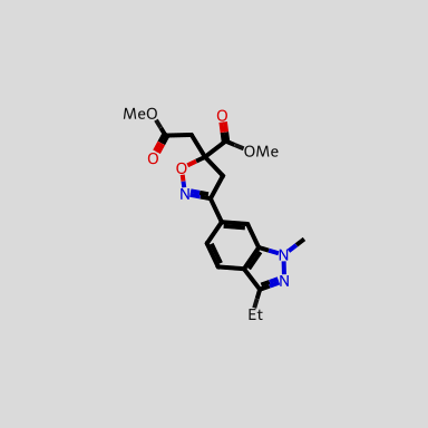 CCc1nn(C)c2cc(C3=NOC(CC(=O)OC)(C(=O)OC)C3)ccc12